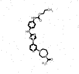 CCCOC(=O)Nc1ccc(Nc2ncn(-c3ccnc(N4CCCN(C(C)=O)CC4)c3)n2)cc1